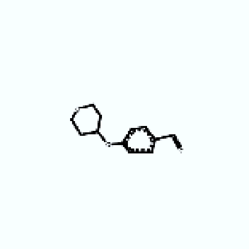 O=Cc1ccc(OC2CCOCC2)cc1